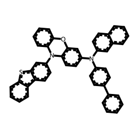 c1ccc(-c2ccc(N(c3ccc4c(c3)Oc3ccccc3N4c3ccc4c(c3)sc3ccccc34)c3ccc4ccccc4c3)cc2)cc1